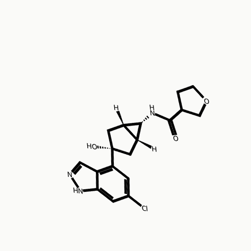 O=C(N[C@@H]1[C@@H]2C[C@@](O)(c3cc(Cl)cc4[nH]ncc34)C[C@@H]21)C1CCOC1